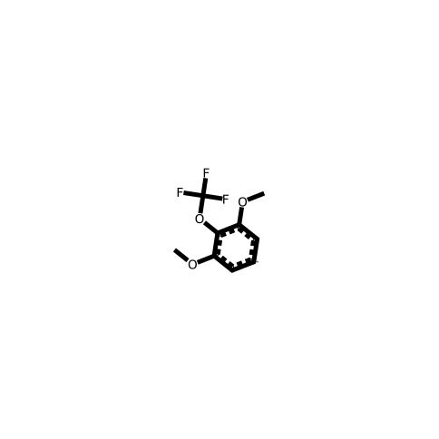 COc1c[c]cc(OC)c1OC(F)(F)F